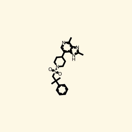 Cc1nc2c(C)ncc(C3CCN(S(=O)(=O)CC(C)(C)c4ccccc4)CC3)c2[nH]1